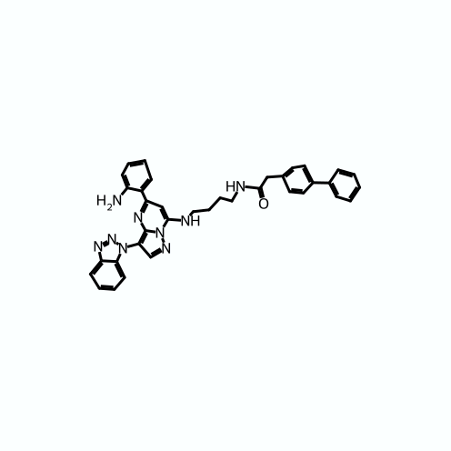 Nc1ccccc1-c1cc(NCCCCNC(=O)Cc2ccc(-c3ccccc3)cc2)n2ncc(-n3nnc4ccccc43)c2n1